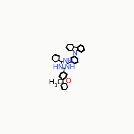 C[C@@]12C=CCCC1Oc1cc([C@@H]3NC(c4cccc(N5c6ccccc6C6CCC=CC65)c4)NC(C4C=CC=CC4)N3)ccc12